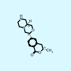 C[C@H]1Cc2cc([C@@H]3CN4CCNC[C@H]4CO3)ccc2C(=O)O1